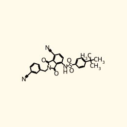 CC(C)(C)c1ccc(S(=O)(=O)Nc2ccc(C#N)c3c2C(=O)N(Cc2cccc(C#N)c2)C3=O)cc1